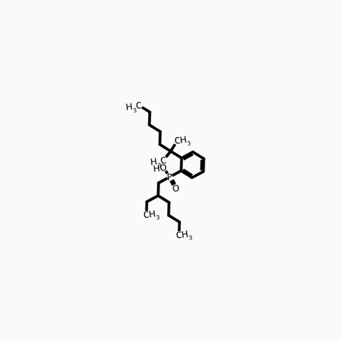 CCCCCC(C)(C)c1ccccc1P(=O)(O)CC(CC)CCCC